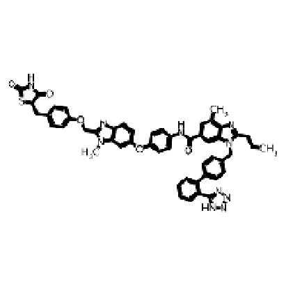 CCCc1nc2c(C)cc(C(=O)Nc3ccc(Oc4ccc5nc(COc6ccc(CC7SC(=O)NC7=O)cc6)n(C)c5c4)cc3)cc2n1Cc1ccc(-c2ccccc2-c2nnn[nH]2)cc1